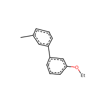 CCOc1cccc(-c2cccc(C)c2)c1